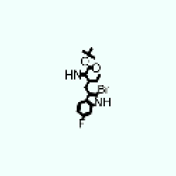 CCC(Cc1c(Br)[nH]c2cc(F)ccc12)C(=N)C(=O)OC(C)(C)C